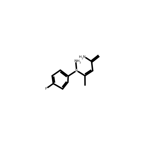 C=C(N)/C=C(/C)N(N)c1ccc(F)cc1